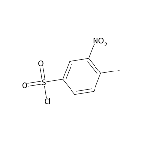 Cc1ccc(S(=O)(=O)Cl)cc1[N+](=O)[O-]